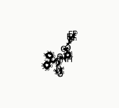 O=C(OCCCC(F)(F)C(F)(F)F)c1cccc(NC(=O)N(CCC(c2ccccc2)c2ccccc2)CCN2CCOCC2)c1